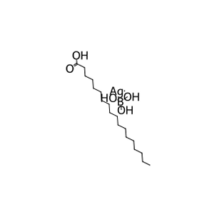 CCCCCCCCCCCCCCCCCC(=O)O.OB(O)O.[Ag]